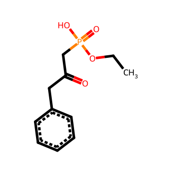 CCOP(=O)(O)CC(=O)Cc1ccccc1